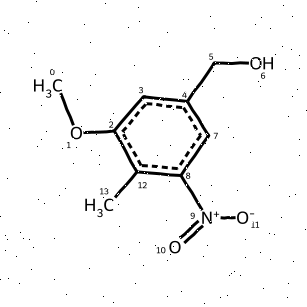 COc1cc(CO)cc([N+](=O)[O-])c1C